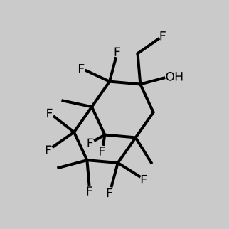 CC1(F)C(F)(F)C2(C)CC(O)(CF)C(F)(F)C(C)(C1(F)F)C2(F)F